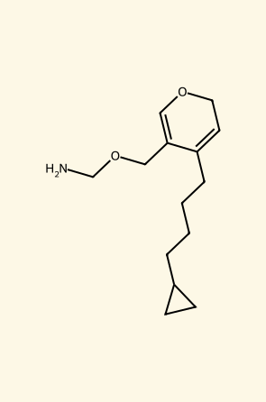 NCOCC1=COCC=C1CCCCC1CC1